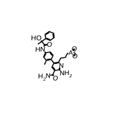 Cc1cc(NC(=O)C(C)(O)c2ccccc2)ccc1-c1cc(C(N)=O)c(N)nc1CCC[As](=O)=O